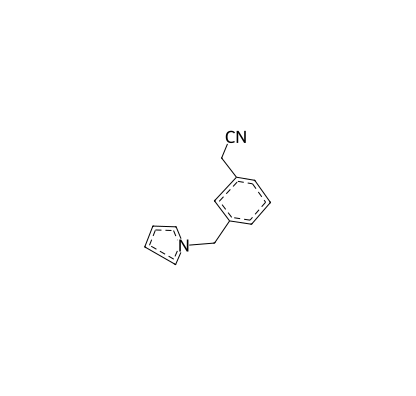 N#CCc1cccc(Cn2cccc2)c1